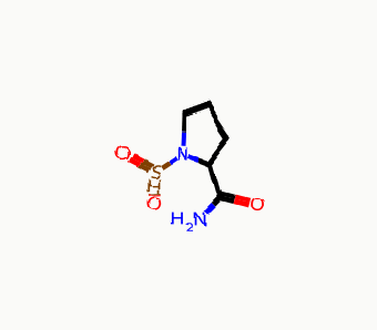 NC(=O)C1CCCN1[SH](=O)=O